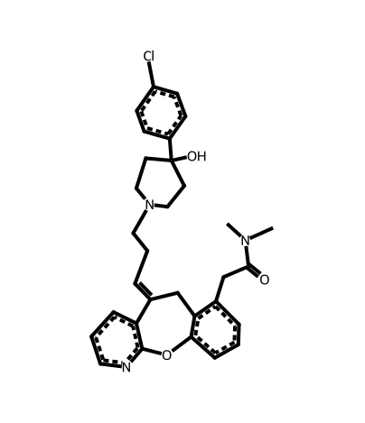 CN(C)C(=O)Cc1cccc2c1CC(=CCCN1CCC(O)(c3ccc(Cl)cc3)CC1)c1cccnc1O2